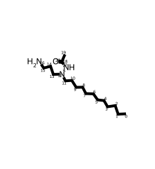 CCCCCCCCCCCCN(CCCN)NC(C)=O